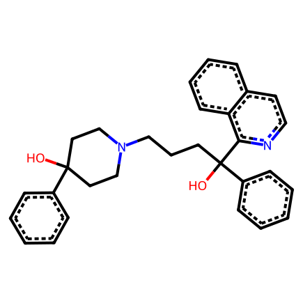 OC1(c2ccccc2)CCN(CCCC(O)(c2ccccc2)c2nccc3ccccc23)CC1